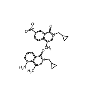 Cc1cn(CC2CC2)c(=O)c2cc([N+](=O)[O-])ccc12.Cc1cn(CC2CC2)c(=O)c2cccc(N)c12